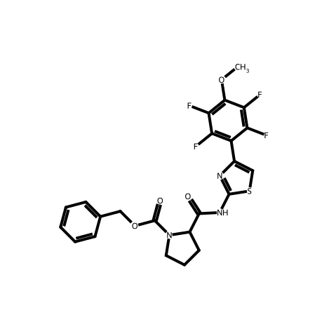 COc1c(F)c(F)c(-c2csc(NC(=O)C3CCCN3C(=O)OCc3ccccc3)n2)c(F)c1F